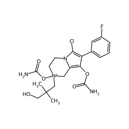 CC(C)(CO)C[N+]1(OC(N)=O)CCn2c(Cl)c(-c3cccc(F)c3)c(OC(N)=O)c2C1